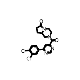 O=C(c1cc(-c2ccc(Cl)c(Cl)c2)ncn1)N1CCN2C(=O)CCC2C1